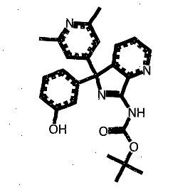 Cc1cc(C2(c3cccc(O)c3)N=C(NC(=O)OC(C)(C)C)c3ncccc32)cc(C)n1